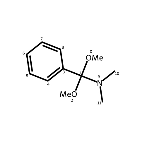 COC(OC)(c1ccccc1)N(C)C